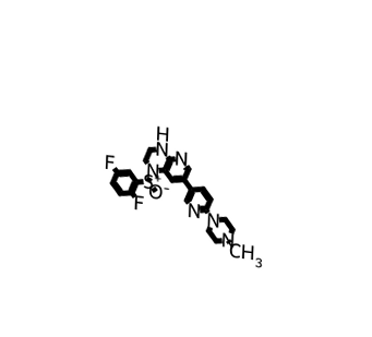 CN1CCN(c2ccc(-c3cnc4c(c3)N([S+]([O-])c3cc(F)ccc3F)CCN4)cn2)CC1